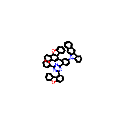 c1ccc(-c2nc(-c3ccc(-n4c5ccccc5c5cc6ccccc6cc54)cc3-c3cc4ccccc4c4oc5ccccc5c34)nc(-c3cccc4oc5ccccc5c34)n2)cc1